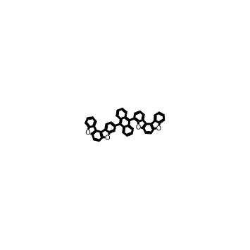 c1ccc2c(c1)oc1ccc3oc4cc(-c5c6ccccc6c(-c6cccc7c6oc6ccc8oc9ccccc9c8c67)c6ccccc56)ccc4c3c12